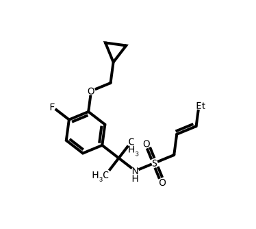 CC/C=C/CS(=O)(=O)NC(C)(C)c1ccc(F)c(OCC2CC2)c1